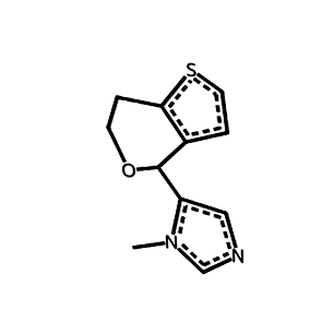 Cn1cncc1C1OCCc2sccc21